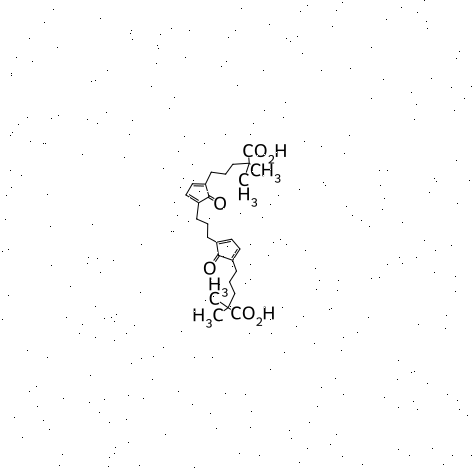 CC(C)(CCCC1=CC=C(CCCC2=CC=C(CCCC(C)(C)C(=O)O)C2=O)C1=O)C(=O)O